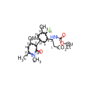 CCOC(=O)CC(NC(=O)OC(C)(C)C)c1cc(-c2c(OC)cc(C)n(C)c2=O)cc(C)c1F